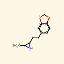 CCOC(=O)C1NC1CCc1ccc2c(c1)OCO2